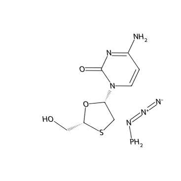 Nc1ccn([C@@H]2CS[C@H](CO)O2)c(=O)n1.[N-]=[N+]=NP